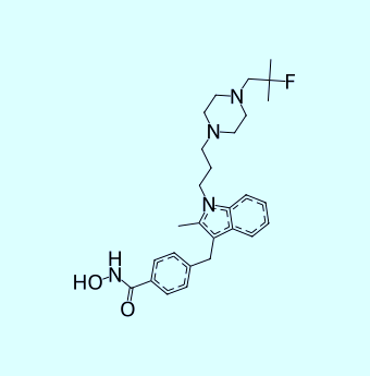 Cc1c(Cc2ccc(C(=O)NO)cc2)c2ccccc2n1CCCN1CCN(CC(C)(C)F)CC1